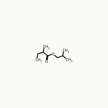 CCC(C)C(=O)OCC(C)C